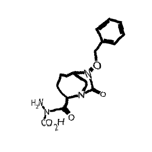 NN(C(=O)O)C(=O)C1CCC2CN1C(=O)N2OCc1ccccc1